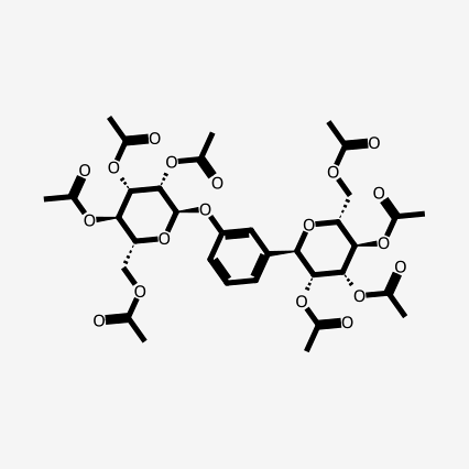 CC(=O)OC[C@H]1O[C@H](Oc2cccc([C@H]3O[C@H](COC(C)=O)[C@@H](OC(C)=O)[C@H](OC(C)=O)[C@@H]3OC(C)=O)c2)[C@@H](OC(C)=O)[C@@H](OC(C)=O)[C@@H]1OC(C)=O